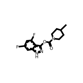 CC1CCN(C(=O)Oc2n[nH]c3cc(F)cc(F)c23)CC1